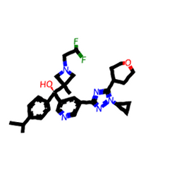 CC(C)c1ccc([C@](O)(c2cncc(-c3nc(C4CCOCC4)n(C4CC4)n3)c2)C2(C)CN(CC(F)F)C2)cc1